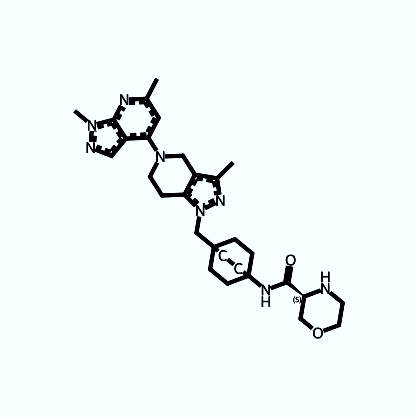 Cc1cc(N2CCc3c(c(C)nn3CC34CCC(NC(=O)[C@@H]5COCCN5)(CC3)CC4)C2)c2cnn(C)c2n1